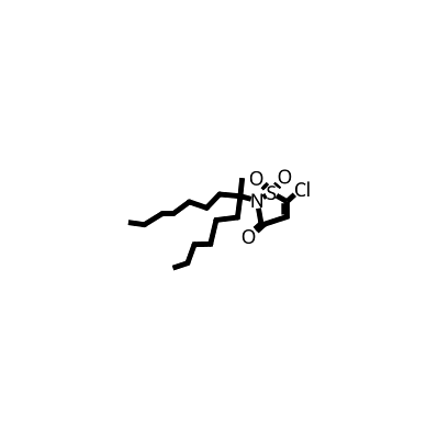 CCCCCCCC(C)(CCCCCC)N1C(=O)C=C(Cl)S1(=O)=O